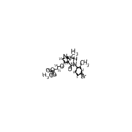 Cc1cc(Br)ccc1NC(=O)c1c(OCCOS(C)(=O)=O)cnn1C